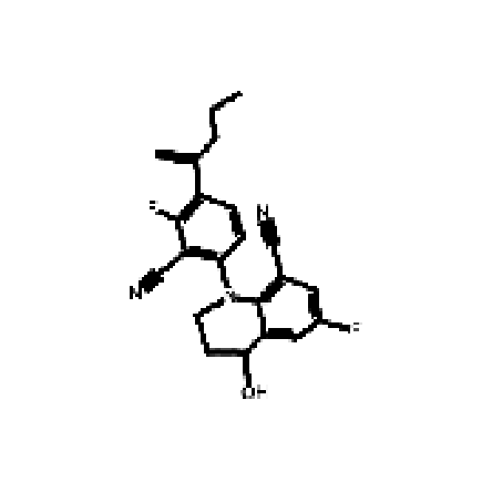 C=C(CCC)c1ccc(N2CCC(O)c3cc(F)cc(C#N)c32)c(C#N)c1F